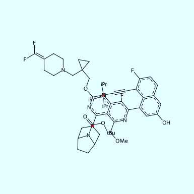 COCc1nc(-c2cc(O)cc3ccc(F)c(C#C[Si](C(C)C)(C(C)C)C(C)C)c23)c(F)c2nc(OCC3(CN4CCC(=C(F)F)CC4)CC3)nc(N3CC4CCC(C3)N4C(=O)OC(C)(C)C)c12